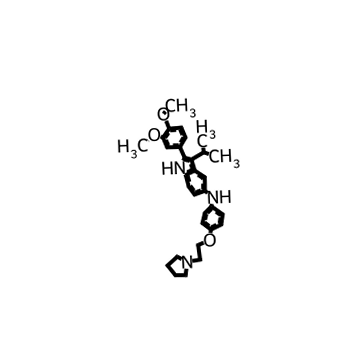 COc1ccc(-c2[nH]c3ccc(Nc4ccc(OCCN5CCCC5)cc4)cc3c2C(C)C)cc1OC